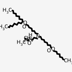 CCCCCCCCOC(=O)CCCCCCCN(CCCCCCCC(=O)OC(CCCCCCCC)CCCCCCCC)CCCNC(=O)N(C)C